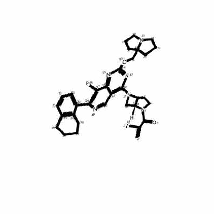 C=C(F)C(=O)N1CCC2[C@H]1CN2c1nc(OCC23CCCN2CCC3)nc2c(F)c(-c3cccc4c3CCCC4)ncc12